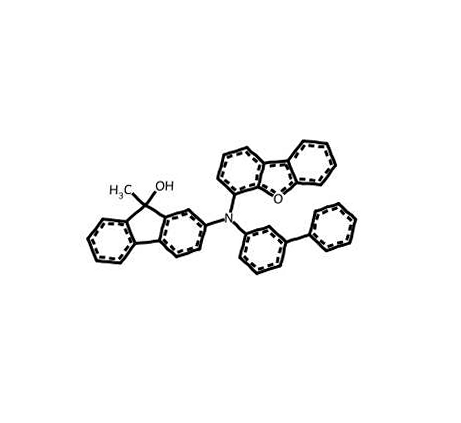 CC1(O)c2ccccc2-c2ccc(N(c3cccc(-c4ccccc4)c3)c3cccc4c3oc3ccccc34)cc21